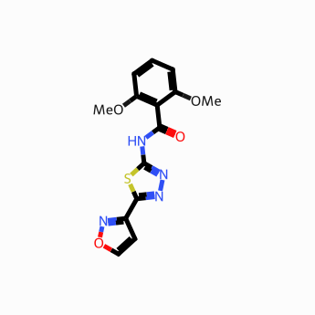 COc1cccc(OC)c1C(=O)Nc1nnc(-c2ccon2)s1